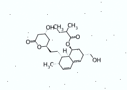 CCC(C)C(=O)O[C@H]1C[C@H](CO)C=C2C=C[C@H](C)[C@H](CC[C@@H]3C[C@@H](O)CC(=O)O3)[C@H]21